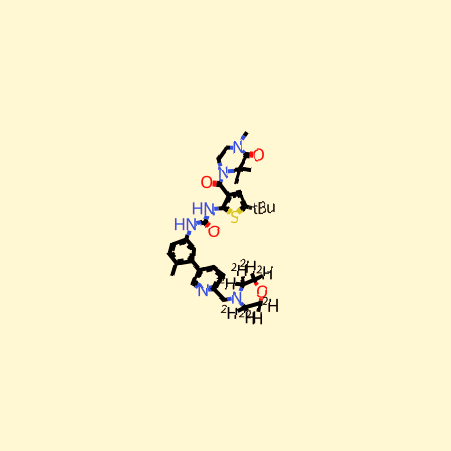 [2H]C1([2H])OC([2H])([2H])C([2H])([2H])N(Cc2ccc(-c3cc(NC(=O)Nc4sc(C(C)(C)C)cc4C(=O)N4CCN(C)C(=O)C4(C)C)ccc3C)cn2)C1([2H])[2H]